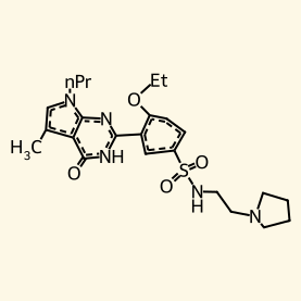 CCCn1cc(C)c2c(=O)[nH]c(-c3cc(S(=O)(=O)NCCN4CCCC4)ccc3OCC)nc21